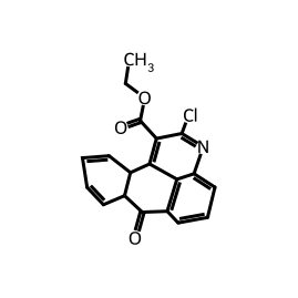 CCOC(=O)c1c(Cl)nc2cccc3c2c1C1C=CC=CC1C3=O